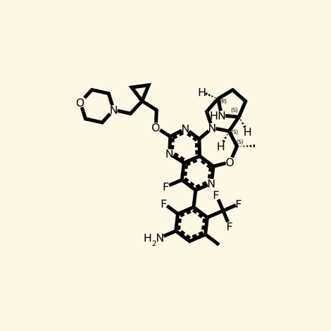 Cc1cc(N)c(F)c(-c2nc3c4c(nc(OCC5(CN6CCOCC6)CC5)nc4c2F)N2C[C@H]4CC[C@H](N4)[C@H]2[C@H](C)O3)c1C(F)(F)F